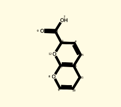 O=C(O)C1C=CC2=C(OC=CC2)O1